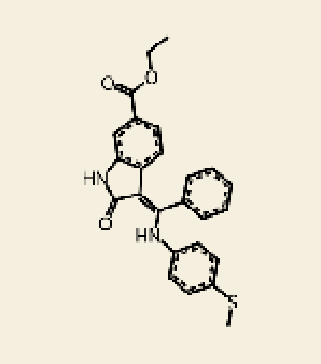 CCOC(=O)c1ccc2c(c1)NC(=O)/C2=C(\Nc1ccc(SC)cc1)c1ccccc1